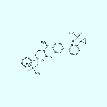 C[C@@H](c1ccc(-c2cccc(C3(S(C)(=O)=O)CC3)n2)cc1)N1CC[C@](CC(C)(C)O)(c2ccccc2)OC1=O